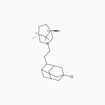 CC1(C)[C@@H]2CC[C@]1(C)CN(CCC1C3CC4CC1CC(Cl)(C4)C3)C2